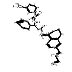 CC(C)(C)CNCc1ccc2c(c1)CCCC2NC(=O)CC(NS(=O)(=O)c1cccc(C(F)(F)F)c1)c1ccccc1